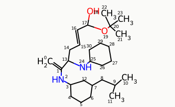 C=C(NC1CCCC(CC(C)C)C1)C(C/C=C/C(O)OC(C)(C)C)NC1CCCCC1